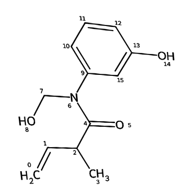 C=CC(C)C(=O)N(CO)c1cccc(O)c1